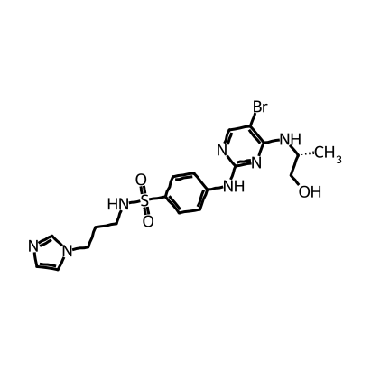 C[C@H](CO)Nc1nc(Nc2ccc(S(=O)(=O)NCCCn3ccnc3)cc2)ncc1Br